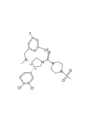 CN(Cc1cc(F)cc(C(F)(F)F)c1)[C@@H]1CN(C(=O)N2CCN(S(C)(=O)=O)CC2)C[C@@H]1c1ccc(Cl)c(Cl)c1